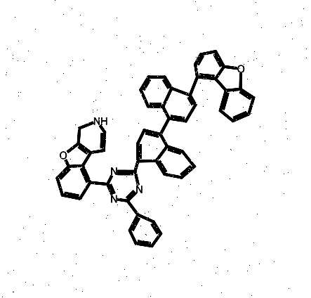 C1=Cc2c(oc3cccc(-c4nc(-c5ccccc5)nc(-c5ccc(-c6ccc(-c7cccc8oc9ccccc9c78)c7ccccc67)c6ccccc56)n4)c23)CN1